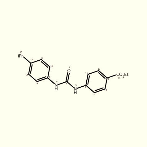 CCOC(=O)c1ccc(NC(=O)Nc2ccc(C(C)C)cc2)cc1